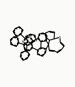 C1=CC2S/C=C/C=C\C=C\C3(c4cccc(-c5nc(-c6ccccc6)nc(-c6ccccc6)n5)c4-c4c(-c5ccc(-c6ccccc6)c6cccnc56)cccc43)C2C=C1